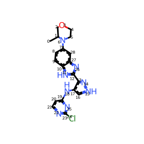 CC1COCCN1c1ccc2[nH]c(-c3n[nH]cc3Nc3ccnc(Cl)n3)nc2c1